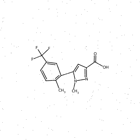 Cc1ccc(C(F)(F)F)cc1-c1cc(C(=O)O)nn1C